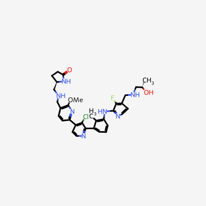 COc1nc(-c2ccnc(-c3cccc(Nc4nccc(CNC[C@H](C)O)c4F)c3C)c2Cl)ccc1CNC[C@H]1CCC(=O)N1